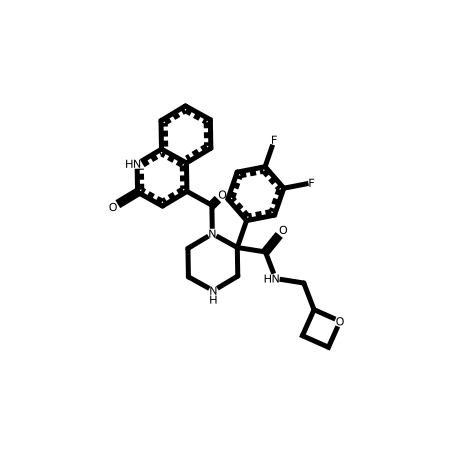 O=C(c1cc(=O)[nH]c2ccccc12)N1CCNCC1(C(=O)NCC1CCO1)c1ccc(F)c(F)c1